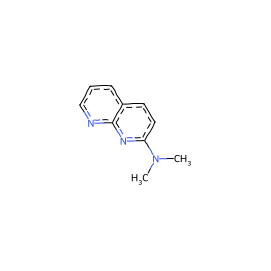 CN(C)c1ccc2cccnc2n1